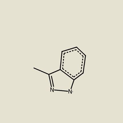 CC1=N[N]c2ccccc21